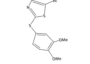 COc1ccc(Sc2ncc(C(C)=O)s2)cc1OC